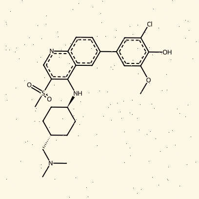 COc1cc(-c2ccc3ncc(S(C)(=O)=O)c(N[C@H]4CC[C@H](CN(C)C)CC4)c3c2)cc(Cl)c1O